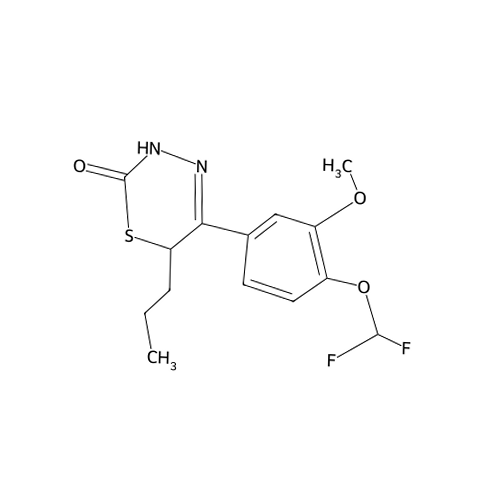 CCCC1SC(=O)NN=C1c1ccc(OC(F)F)c(OC)c1